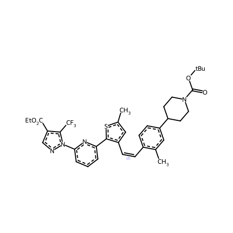 CCOC(=O)c1cnn(-c2cccc(-c3sc(C)cc3/C=C\c3ccc(C4CCN(C(=O)OC(C)(C)C)CC4)cc3C)n2)c1C(F)(F)F